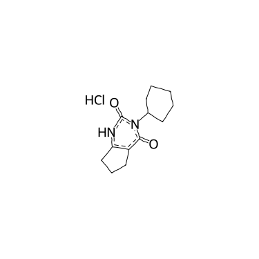 Cl.O=c1[nH]c2c(c(=O)n1C1CCCCC1)CCC2